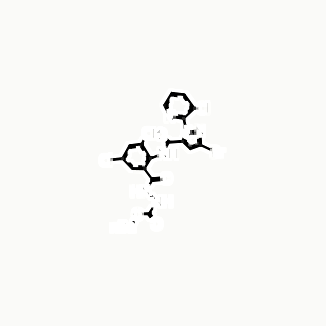 CCCCOC(=O)NNC(=O)c1cc(Cl)cc(C)c1NC(=O)c1cc(Br)nn1-c1ncccc1Cl